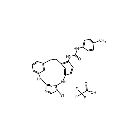 Cc1ccc(NC(=O)Nc2ccc3cc2CCc2cccc(c2)Nc2ncc(Cl)c(n2)N3)cc1.O=C(O)C(F)(F)F